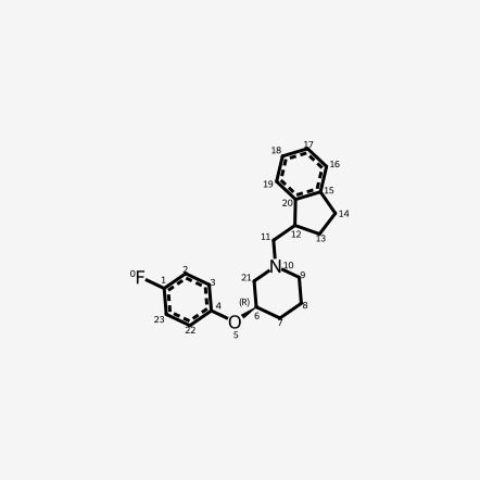 Fc1ccc(O[C@@H]2CCCN(CC3CCc4ccccc43)C2)cc1